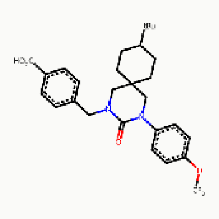 CC(C)(C)C1CCC2(CC1)CN(Cc1ccc(C(=O)O)cc1)C(=O)N(c1ccc(OC(F)(F)F)cc1)C2